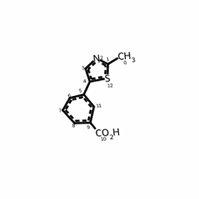 Cc1ncc(-c2cccc(C(=O)O)c2)s1